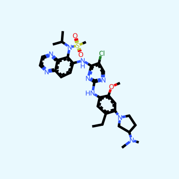 CCc1cc(Nc2ncc(Cl)c(Nc3ccc4nccnc4c3N(C(C)C)S(C)(=O)=O)n2)c(OC)cc1N1CCC(N(C)C)C1